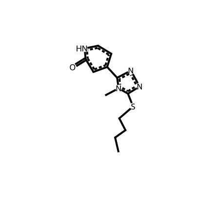 CCCCSc1nnc(-c2cc[nH]c(=O)c2)n1C